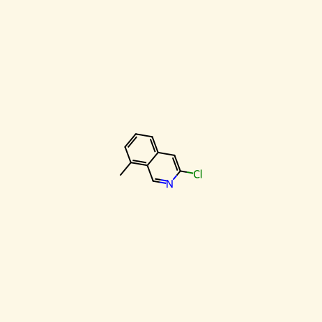 Cc1cccc2cc(Cl)ncc12